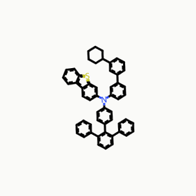 c1ccc(-c2cccc(-c3ccccc3)c2-c2ccc(N(c3cccc(-c4cccc(C5CCCCC5)c4)c3)c3ccc4c(c3)sc3ccccc34)cc2)cc1